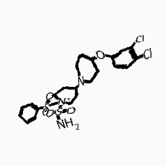 NS(=O)(=O)[N+]1(S(=O)(=O)c2ccccc2)CCC(N2CCC(Oc3ccc(Cl)c(Cl)c3)CC2)CC1